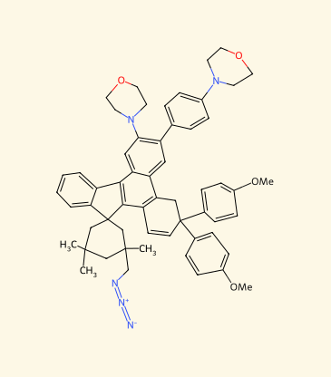 COc1ccc(C2(c3ccc(OC)cc3)C=Cc3c4c(c5cc(N6CCOCC6)c(-c6ccc(N7CCOCC7)cc6)cc5c3C2)-c2ccccc2C42CC(C)(C)CC(C)(CN=[N+]=[N-])C2)cc1